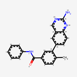 Cc1ccc(C(=O)Nc2ccccc2)cc1-c1ccc2nc(N)ncc2c1